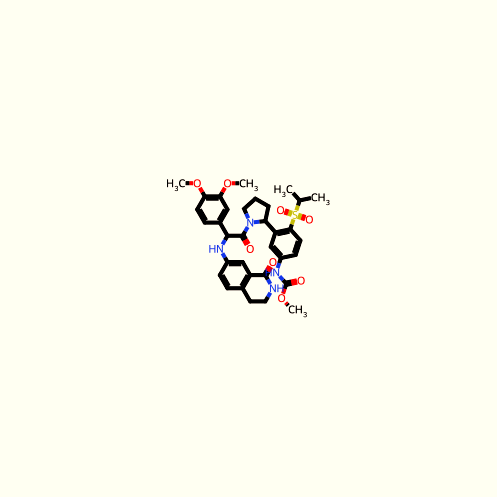 COC(=O)Nc1ccc(S(=O)(=O)C(C)C)c(C2CCCN2C(=O)C(Nc2ccc3c(c2)C(=O)NCC3)c2ccc(OC)c(OC)c2)c1